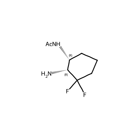 CC(=O)N[C@@H]1CCCC(F)(F)[C@@H]1N